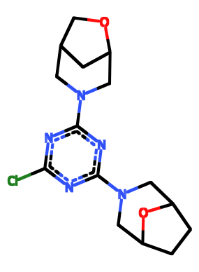 Clc1nc(N2CC3COC(C3)C2)nc(N2CC3CCC(C2)O3)n1